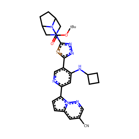 CC(C)(C)OC(=O)N1C2CCC1CN(c1nnc(-c3cnc(-c4ccc5cc(C#N)cnn45)cc3NC3CCC3)s1)C2